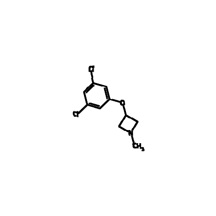 CN1CC(Oc2cc(Cl)cc(Cl)c2)C1